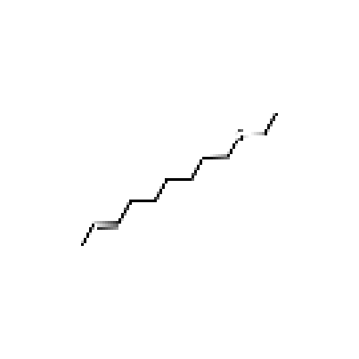 C/C=C/CCCCCCSCC